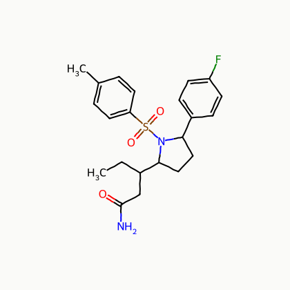 CCC(CC(N)=O)C1CCC(c2ccc(F)cc2)N1S(=O)(=O)c1ccc(C)cc1